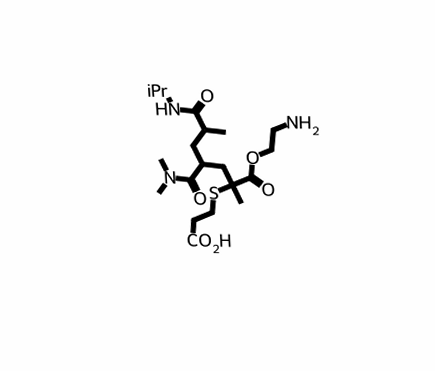 CC(C)NC(=O)C(C)CC(CC(C)(SCCC(=O)O)C(=O)OCCN)C(=O)N(C)C